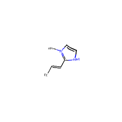 CCC=Cc1[nH]cc[n+]1CCC